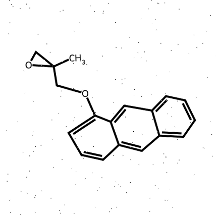 CC1(COc2cccc3cc4ccccc4cc23)CO1